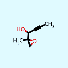 CC#CC(O)C1(C)CO1